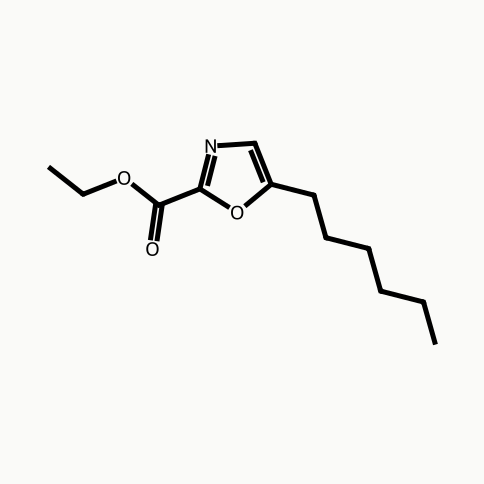 CCCCCCc1cnc(C(=O)OCC)o1